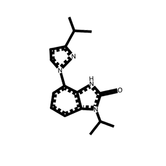 CC(C)c1ccn(-c2cccc3c2[nH]c(=O)n3C(C)C)n1